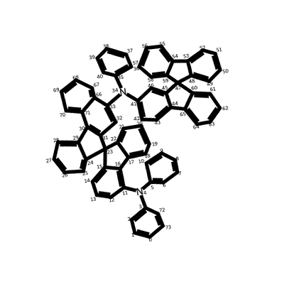 c1ccc(N(c2ccccc2)c2cccc3c2-c2ccccc2C32c3ccccc3-c3c2cc(N(c2ccccc2)c2ccc4c(c2)C2(c5ccccc5-c5ccccc52)c2ccccc2-4)c2ccccc32)cc1